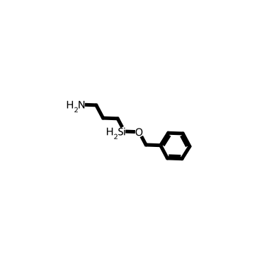 NCCC[SiH2]OCc1ccccc1